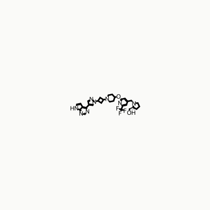 OC[C@@H]1CCCN1Cc1cc(OC2CCN(C3CC(n4cc(-c5ncnc6[nH]ccc56)cn4)C3)CC2)nc(C(F)(F)F)c1